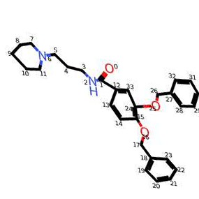 O=C(NCCCN1CCCCC1)c1ccc(OCc2ccccc2)c(OCc2ccccc2)c1